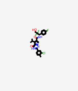 Cc1ccc(-c2nn3cc(C(=O)N[C@@H](c4ccc(F)cc4)C(F)(F)CO)c(C(C)C)c3c(=O)[nH]2)cc1Cl